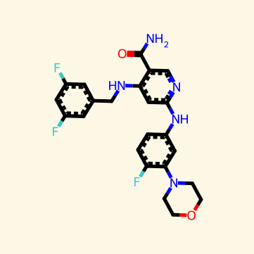 NC(=O)c1cnc(Nc2ccc(F)c(N3CCOCC3)c2)cc1NCc1cc(F)cc(F)c1